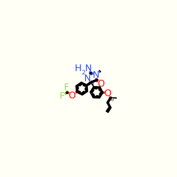 C=CC[C@H](C)Oc1cccc([C@@]2(c3ccc(OC(F)F)cc3)N=C(N)N(C)C2=O)c1